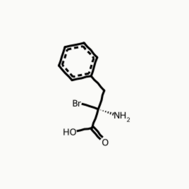 N[C@](Br)(Cc1ccccc1)C(=O)O